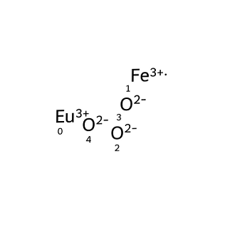 [Eu+3].[Fe+3].[O-2].[O-2].[O-2]